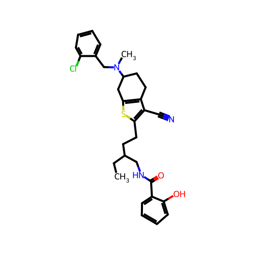 CCC(CCc1sc2c(c1C#N)CCC(N(C)Cc1ccccc1Cl)C2)CNC(=O)c1ccccc1O